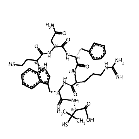 CC(C)(S)[C@H](NC(=O)[C@H](Cc1c[nH]c2ccccc12)NC(=O)[C@H](CCCNC(=N)N)NC(=O)[C@@H](Cc1ccccc1)NC(=O)[C@H](CC(N)=O)NC(=O)[C@@H](N)CCS)C(=O)O